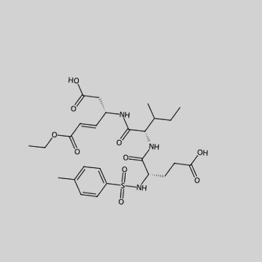 CCOC(=O)/C=C/[C@H](CC(=O)O)NC(=O)[C@@H](NC(=O)[C@H](CCC(=O)O)NS(=O)(=O)c1ccc(C)cc1)C(C)CC